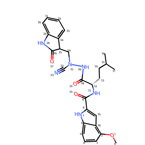 COc1cccc2[nH]c(C(=O)N[C@@H](CCC(C)C)C(=O)NN(C#N)CC3C(=O)Nc4ccccc43)cc12